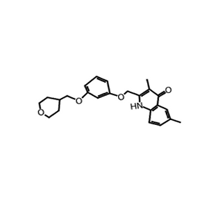 Cc1ccc2[nH]c(COc3cccc(OCC4CCOCC4)c3)c(C)c(=O)c2c1